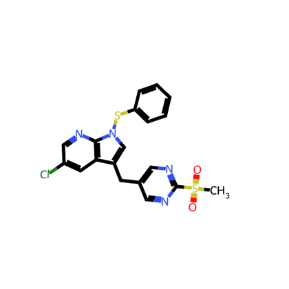 CS(=O)(=O)c1ncc(Cc2cn(Sc3ccccc3)c3ncc(Cl)cc23)cn1